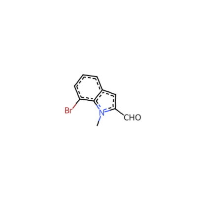 Cn1c(C=O)cc2cccc(Br)c21